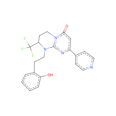 O=c1cc(-c2ccncc2)nc2n1CCC(C(F)(F)F)N2CCc1ccccc1O